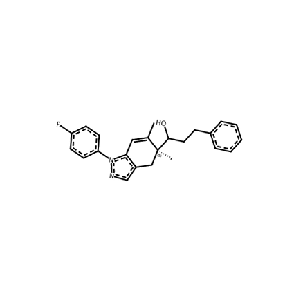 CC1=Cc2c(cnn2-c2ccc(F)cc2)C[C@]1(C)C(O)CCc1ccccc1